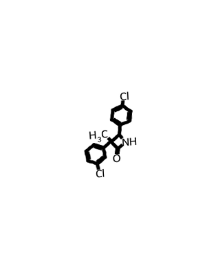 CC1(c2cccc(Cl)c2)C(=O)NC1c1ccc(Cl)cc1